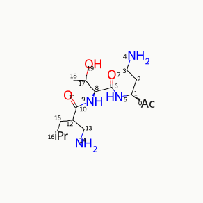 CC(=O)[C@H](CCN)NC(=O)[C@@H](NC(=O)C(CN)CC(C)C)C(C)O